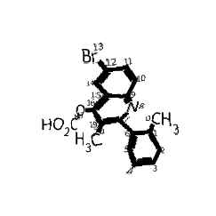 Cc1ccccc1-c1nc2ccc(Br)cc2c(OC(=O)O)c1C